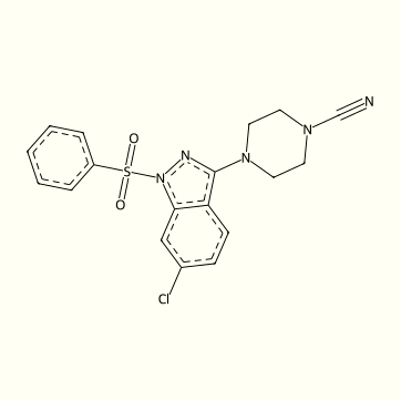 N#CN1CCN(c2nn(S(=O)(=O)c3ccccc3)c3cc(Cl)ccc23)CC1